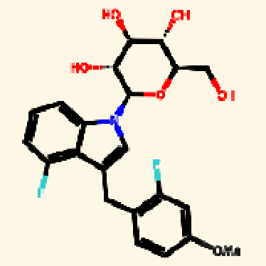 COc1ccc(Cc2cn([C@@H]3O[C@H](CO)[C@@H](O)[C@H](O)[C@H]3O)c3cccc(F)c23)c(F)c1